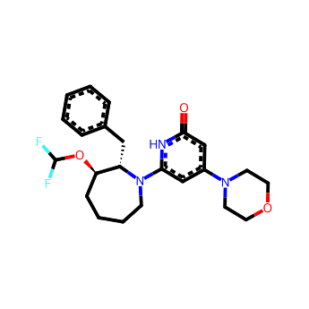 O=c1cc(N2CCOCC2)cc(N2CCCC[C@@H](OC(F)F)[C@@H]2Cc2ccccc2)[nH]1